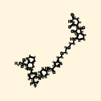 CN(c1ncccc1CNc1ncc(C(F)(F)F)c(Nc2ccc(NC(=O)c3cn(CCOCCOCCNc4cccc5c4C(=O)N(C4CCC(=O)NC4=O)C5=O)nn3)cc2)n1)S(C)(=O)=O